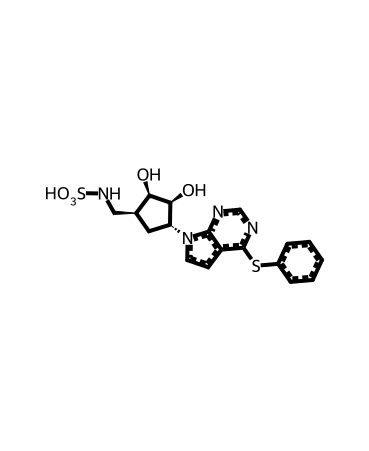 O=S(=O)(O)NC[C@@H]1C[C@@H](n2ccc3c(Sc4ccccc4)ncnc32)[C@H](O)[C@@H]1O